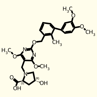 COc1ccc(-c2cccc(COc3nc(OC)c(CN4C[C@H](O)C[C@H]4C(=O)O)c(OC)n3)c2C)cc1OC